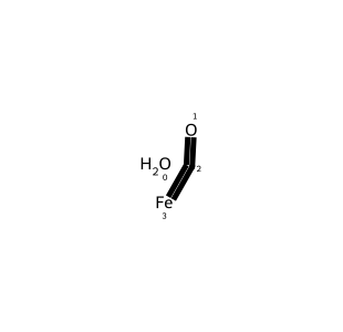 O.O=[C]=[Fe]